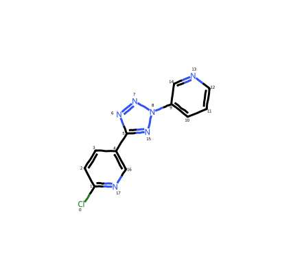 Clc1ccc(-c2nnn(-c3cccnc3)n2)cn1